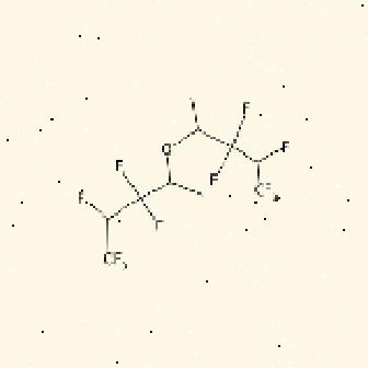 CC(OC(C)C(F)(F)C(F)C(F)(F)F)C(F)(F)C(F)C(F)(F)F